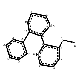 CCSc1cccnc1-c1ncccc1-c1ccccc1